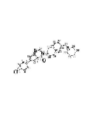 O=c1c2sc(-c3ccc(Cl)cc3)cc2ncn1[C@H]1CCc2cc(CN3CCCCC3)ccc2C1